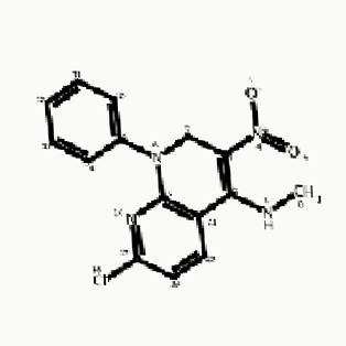 CNC1=C([N+](=O)[O-])CN(c2ccccc2)c2nc(Cl)ccc21